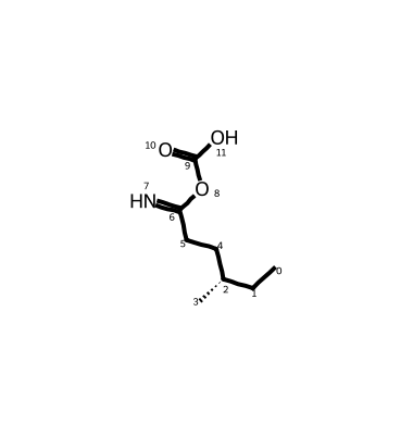 CC[C@H](C)CCC(=N)OC(=O)O